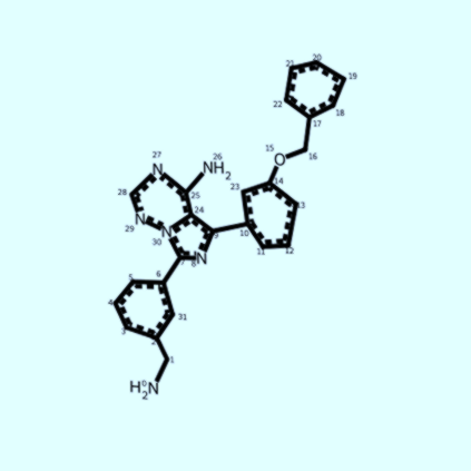 NCc1cccc(-c2nc(-c3cccc(OCc4ccccc4)c3)c3c(N)ncnn23)c1